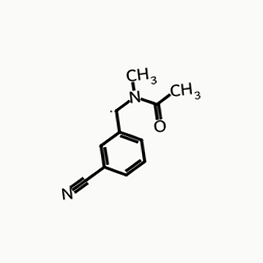 CC(=O)N(C)[CH]c1cccc(C#N)c1